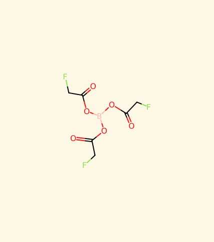 O=C(CF)OB(OC(=O)CF)OC(=O)CF